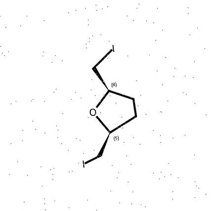 IC[C@@H]1CC[C@H](CI)O1